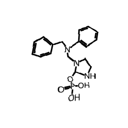 O=P(O)(O)OC1NCCN1CN(Cc1ccccc1)c1ccccc1